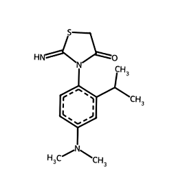 CC(C)c1cc(N(C)C)ccc1N1C(=N)SCC1=O